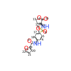 O=C(Nc1ccc(S(=O)(=O)N[C@H]2CCOC2=O)cc1)c1ccco1